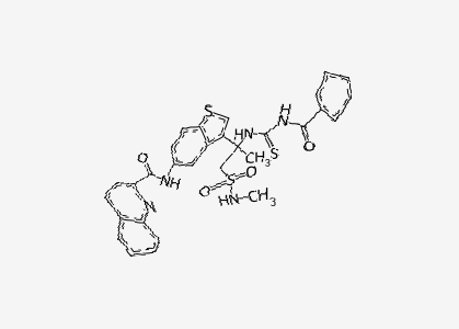 CNS(=O)(=O)CC(C)(NC(=S)NC(=O)c1ccccc1)c1csc2ccc(NC(=O)c3ccc4ccccc4n3)cc12